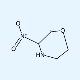 O=[N+]([O-])C1[CH]OCCN1